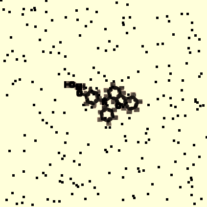 OBOc1ccc(N(c2ccccc2)c2cccc3c2oc2ccccc23)cc1